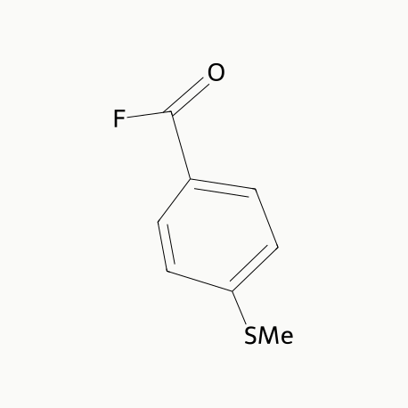 CSc1ccc(C(=O)F)cc1